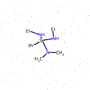 CCN[Si](NCC)(C(C)C)N(C)C